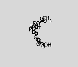 CS(=O)(=O)CCCOc1c(F)cc(-c2c(C(F)(F)F)ccc3c2CC[C@H]3Oc2ccc3c(c2)OCC3CC(=O)O)cc1F